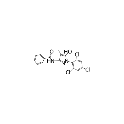 Cc1c(NC(=O)c2ccccc2)nn(-c2c(Cl)cc(Cl)cc2Cl)c1O